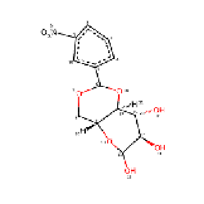 O=[N+]([O-])c1cccc(C2OC[C@H]3OC(O)[C@H](O)[C@@H](O)[C@@H]3O2)c1